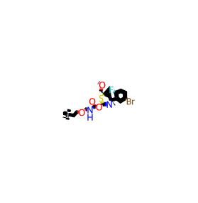 COC[C@]12CC1[C@@](C)(c1cc(Br)ccc1F)N=C(OC(=O)NCOCC[Si](C)(C)C)S2